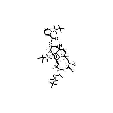 CO[C@H]1C[C@H]2C=C[C@H]3[C@H]4O[C@]2(/C(C)=C/[C@@H](C)[C@@H](C(C)O[Si](C)(C)C(C)(C)C)OC1=O)[C@@H]3[C@H](O[Si](C)(C)C(C)(C)C)[C@@H](C)[C@H]4OC(=O)c1cccn1[Si](C)(C)C(C)(C)C